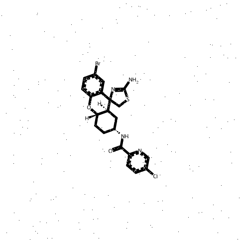 NC1=NC2(CS1)c1cc(Br)ccc1O[C@H]1CC[C@@H](NC(=O)c3ccc(Cl)cn3)C[C@@H]12